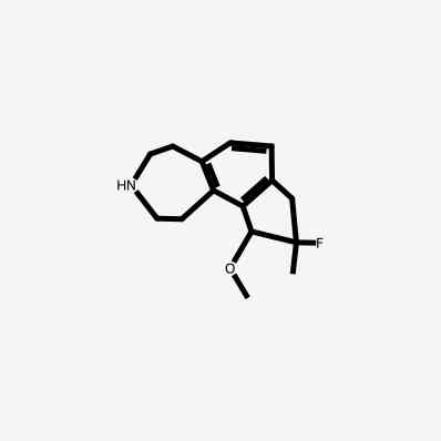 COC1c2c(ccc3c2CCNCC3)CC1(C)F